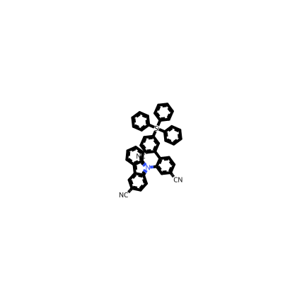 N#Cc1ccc(-c2cc([Si](c3ccccc3)(c3ccccc3)c3ccccc3)ccc2C#N)c(-n2c3ccccc3c3cc(C#N)ccc32)c1